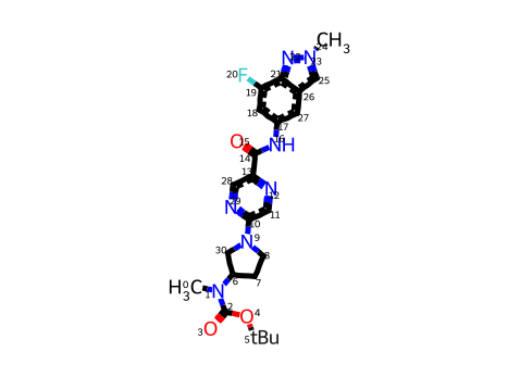 CN(C(=O)OC(C)(C)C)C1CCN(c2cnc(C(=O)Nc3cc(F)c4nn(C)cc4c3)cn2)C1